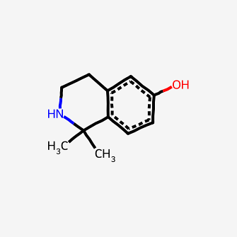 CC1(C)NCCc2cc(O)ccc21